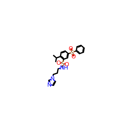 CC(C)c1ccc(S(=O)(=O)c2ccccc2)cc1S(=O)(=O)NCCCn1ccnc1